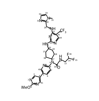 COc1ncc(-c2ccc(N(C(=O)NCC(F)F)C3CCC(Nc4ncc(C(F)(F)F)c(NCc5nccn5C)n4)CC3)nc2)cn1